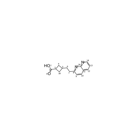 O=C(O)C1CC(CCc2ccc3cccnc3n2)C1